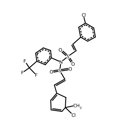 CC1(Cl)C=CC=C(/C=C/S(=O)(=O)N(c2cccc(C(F)(F)F)c2)S(=O)(=O)/C=C/c2cccc(Cl)c2)C1